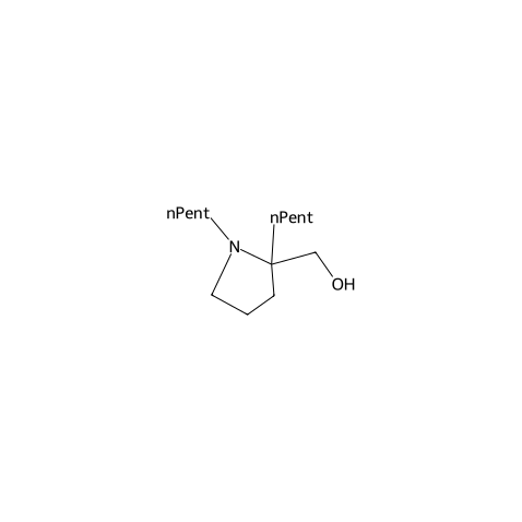 CCCCCN1CCCC1(CO)CCCCC